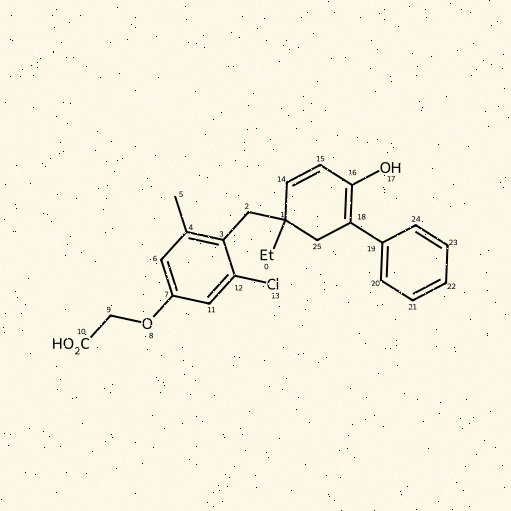 CCC1(Cc2c(C)cc(OCC(=O)O)cc2Cl)C=CC(O)=C(c2ccccc2)C1